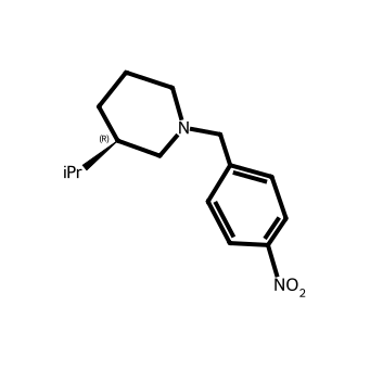 CC(C)[C@H]1CCCN(Cc2ccc([N+](=O)[O-])cc2)C1